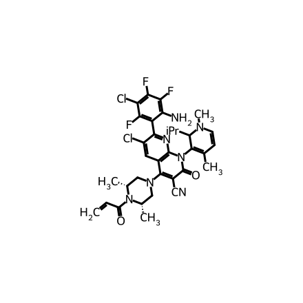 C=CC(=O)N1[C@H](C)CN(c2c(C#N)c(=O)n(C3=C(C)C=CN(C)C3C(C)C)c3nc(-c4c(N)c(F)c(F)c(Cl)c4F)c(Cl)cc23)C[C@@H]1C